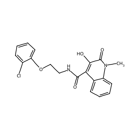 Cn1c(=O)c(O)c(C(=O)NCCOc2ccccc2Cl)c2ccccc21